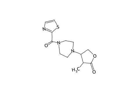 CC1C(=O)OCC1N1CCN(C(=O)c2nccs2)CC1